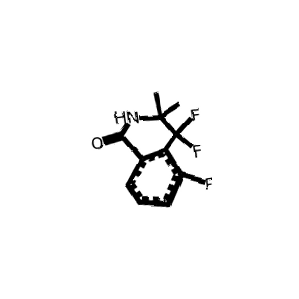 CC1(C)NC(=O)c2cccc(F)c2C1(F)F